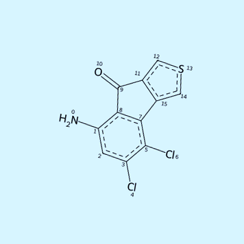 Nc1cc(Cl)c(Cl)c2c1C(=O)c1cscc1-2